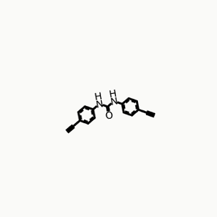 C#Cc1ccc(NC(=O)Nc2ccc(C#C)cc2)cc1